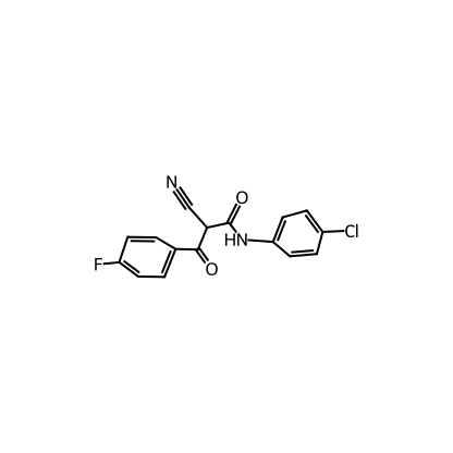 N#CC(C(=O)Nc1ccc(Cl)cc1)C(=O)c1ccc(F)cc1